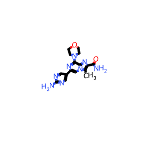 Cc1c(C(N)=O)nc2c(N3CCOCC3)nc(-c3cnc(N)nc3)cn12